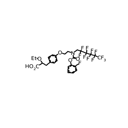 CCOC(Cc1ccc(OCCN(CC(F)(F)C(F)(F)C(F)(F)C(F)(F)C(F)(F)F)C(=O)Oc2ccccc2F)cc1)C(=O)O